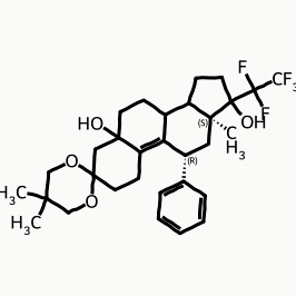 CC1(C)COC2(CCC3=C4C(CCC3(O)C2)C2CCC(O)(C(F)(F)C(F)(F)F)[C@@]2(C)C[C@@H]4c2ccccc2)OC1